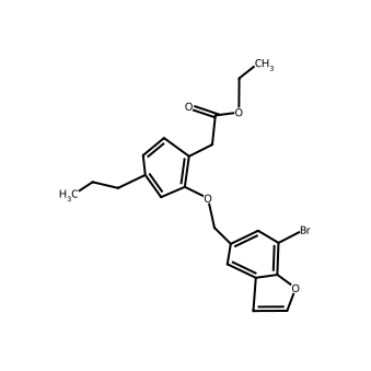 CCCc1ccc(CC(=O)OCC)c(OCc2cc(Br)c3occc3c2)c1